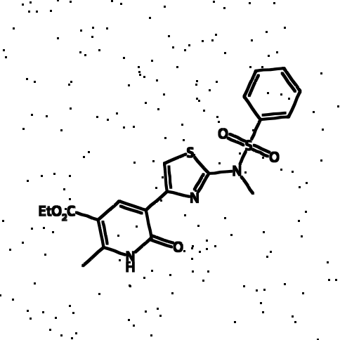 CCOC(=O)c1cc(-c2csc(N(C)S(=O)(=O)c3ccccc3)n2)c(=O)[nH]c1C